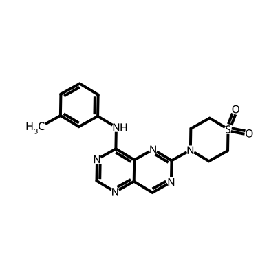 Cc1cccc(Nc2ncnc3cnc(N4CCS(=O)(=O)CC4)nc23)c1